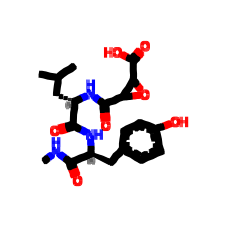 CNC(=O)[C@H](Cc1ccc(O)cc1)NC(=O)[C@H](CC(C)C)NC(=O)C1OC1C(=O)O